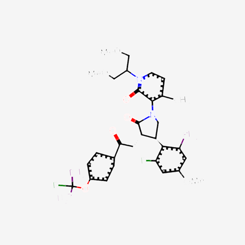 COCC(COC)n1ccc(C)c(N2C[C@@H](c3c(F)cc(OC)cc3P)[C@H](CC(=O)c3ccc(OC(F)(P)P)cc3)C2=O)c1=O